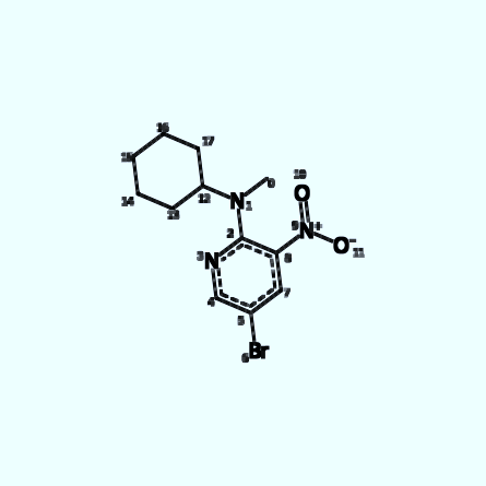 CN(c1ncc(Br)cc1[N+](=O)[O-])C1CCCCC1